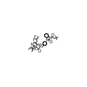 CCN(CC)c1ncc(CC(F)(F)F)c(N[C@@H](Cc2ccc(-n3c(=O)n(C(=O)CC(C)(C)C)c4ccccc43)cc2)C(=O)O)n1